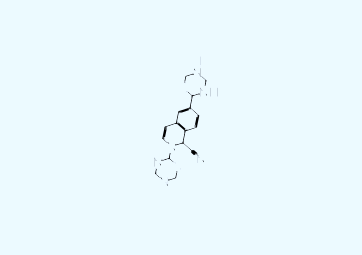 N#CC1c2ccc(C3NCNCS3)cc2C=CN1C1NCNCS1